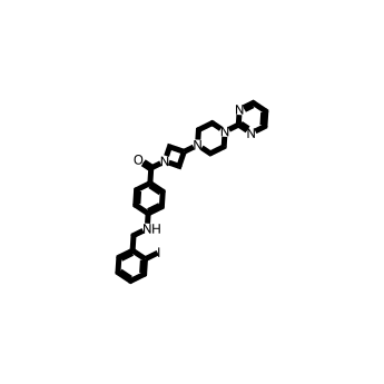 O=C(c1ccc(NCc2ccccc2I)cc1)N1CC(N2CCN(c3ncccn3)CC2)C1